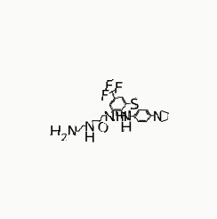 NCCNCC(=O)CNc1cc(C(F)(F)F)cc2c1Nc1ccc(N3CCCC3)cc1S2